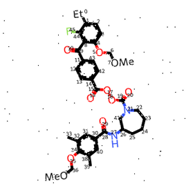 CCc1ccc(OCOC)c(C(=O)c2ccc(C(=O)OOC(=O)N3CCCCC(NC(=O)c4cc(C)c(OCOC)c(C)c4)C3)cc2)c1F